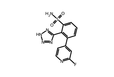 NS(=O)(=O)c1cccc(-c2ccnc(F)c2)c1-c1nn[nH]n1